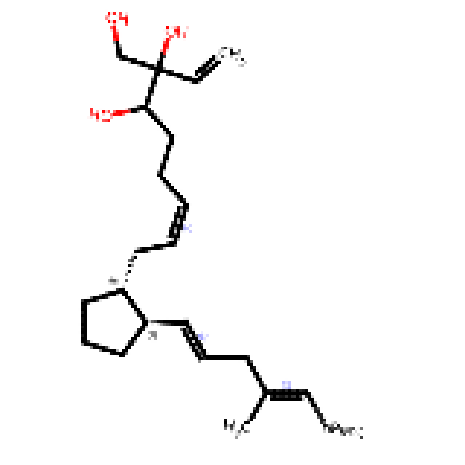 C=CC(O)(CO)C(O)CC/C=C\C[C@H]1CCC[C@@H]1/C=C/C/C(C)=C/CCCCC